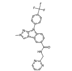 Cn1cc2c3cc(C(=O)NCc4ncccn4)ccc3n(-c3ccc(C(F)(F)F)cc3)c2n1